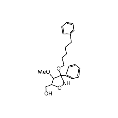 COC1C(CO)ONC1(OCCCCCc1ccccc1)c1ccccc1